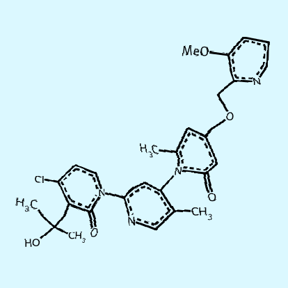 COc1cccnc1COc1cc(C)n(-c2cc(-n3ccc(Cl)c(C(C)(C)O)c3=O)ncc2C)c(=O)c1